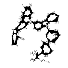 CC(C)(C)c1ccc(-c2cccc(-n3c4ccccc4c4cc(-n5c6ccccc6c6cc7sc8ccccc8c7cc65)ccc43)c2)cc1